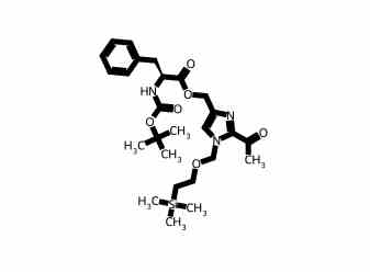 CC(=O)c1nc(COC(=O)[C@H](Cc2ccccc2)NC(=O)OC(C)(C)C)cn1COCC[Si](C)(C)C